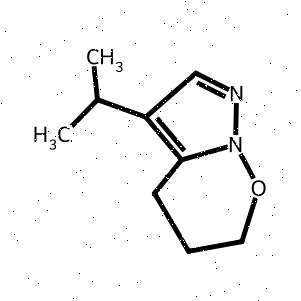 CC(C)c1cnn2c1CCCO2